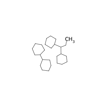 C1CCC(C2CCCCC2)CC1.CCC(C1CCCCC1)C1CCCCC1